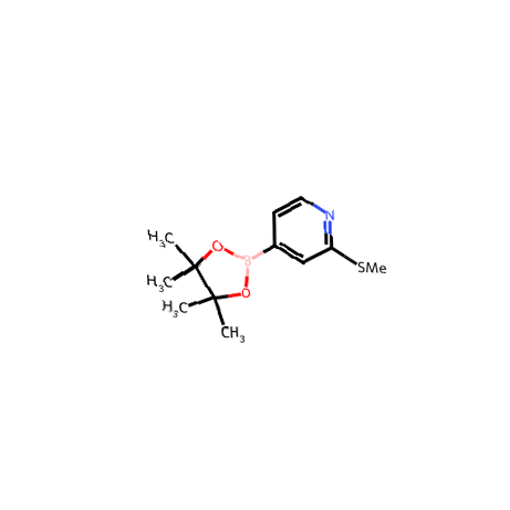 CSc1cc(B2OC(C)(C)C(C)(C)O2)ccn1